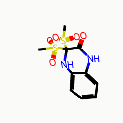 CS(=O)(=O)C1(S(C)(=O)=O)Nc2ccccc2NC1=O